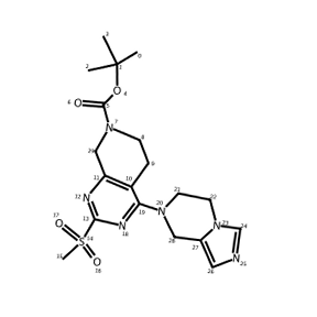 CC(C)(C)OC(=O)N1CCc2c(nc(S(C)(=O)=O)nc2N2CCn3cncc3C2)C1